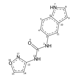 O=C(Nc1ccc2[nH]ccc2c1)Nc1ccon1